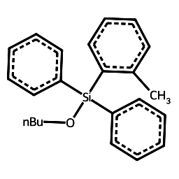 CCCCO[Si](c1ccccc1)(c1ccccc1)c1ccccc1C